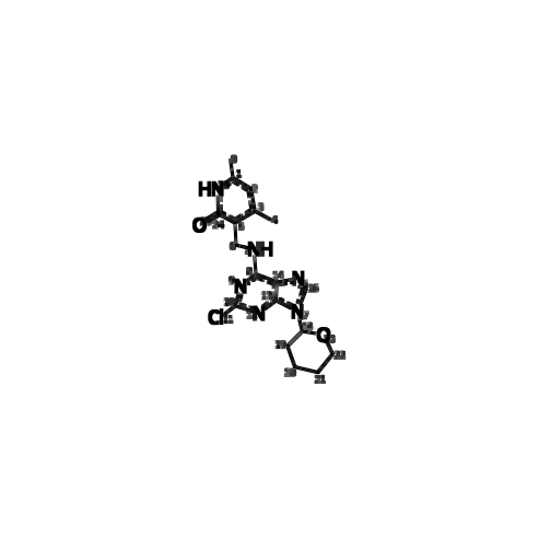 Cc1cc(C)c(CNc2nc(Cl)nc3c2ncn3C2CCCCO2)c(=O)[nH]1